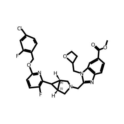 COC(=O)c1ccc2nc(CN3C[C@@H]4C(c5nc(OCc6ccc(Cl)cc6F)ccc5F)[C@@H]4C3)n(CC3CCO3)c2c1